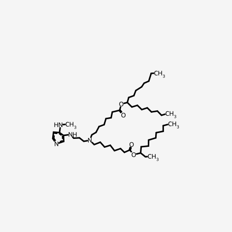 CCCCCCCCC(CC)OC(=O)CCCCCCCN(CCCCCCCC(=O)OC(CCCCCCCC)CCCCCCCC)CCCNc1cnccc1NC